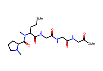 COC(=O)CNC(=O)CNC(=O)CNC(=O)C(CCSC)N(C)C(=O)C1CCCN1C